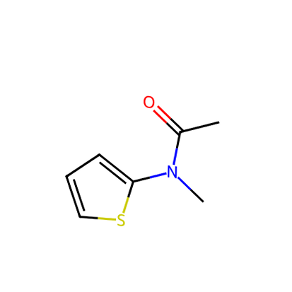 CC(=O)N(C)c1cccs1